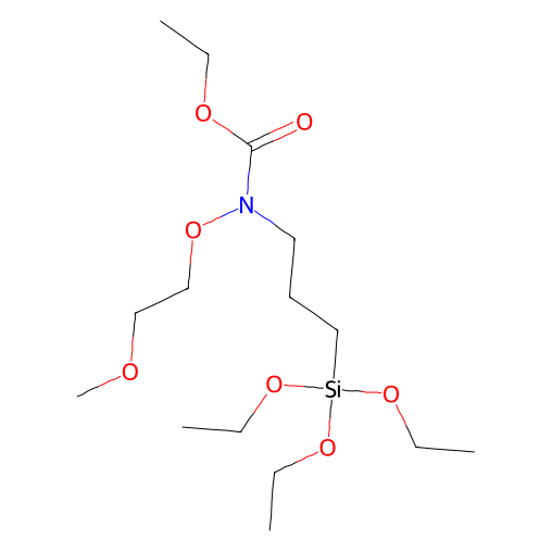 CCOC(=O)N(CCC[Si](OCC)(OCC)OCC)OCCOC